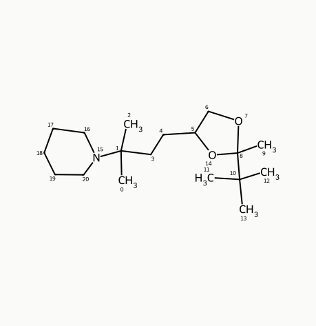 CC(C)(CCC1COC(C)(C(C)(C)C)O1)N1CCCCC1